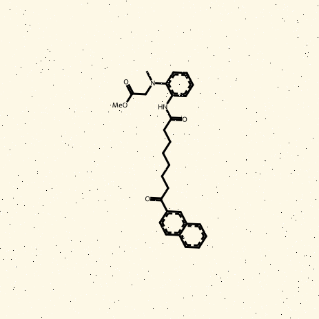 COC(=O)CN(C)c1ccccc1NC(=O)CCCCCCC(=O)c1ccc2ccccc2c1